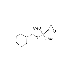 CO[Si](OC)(OCC1CCCCC1)C1CO1